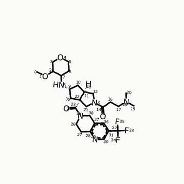 COC1COCCC1N[C@@H]1C[C@H]2CN(C(=O)CCN(C)C)C[C@@]2(C(=O)N2CCc3ncc(C(F)(F)F)cc3C2)C1